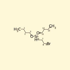 CCCCO[SiH](CCCBr)OCCCC